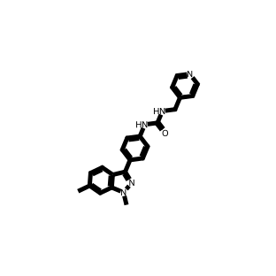 Cc1ccc2c(-c3ccc(NC(=O)NCc4ccncc4)cc3)nn(C)c2c1